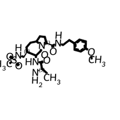 CC[C@H](N)C(=O)NC1C(=O)N2C(CC[C@@H]1CNS(C)(=O)=O)CC[C@H]2C(=O)NCCc1ccc(OC)cc1